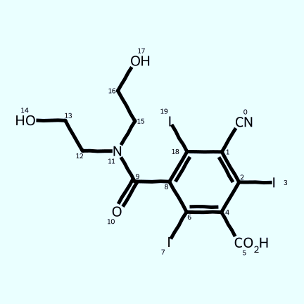 N#Cc1c(I)c(C(=O)O)c(I)c(C(=O)N(CCO)CCO)c1I